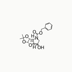 CC1(C)OC2O[C@@H]3[C@H](O)CN(C(=O)OCc4ccccc4)[C@@H]3C2O1